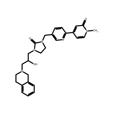 Cn1ccc(-c2ccc(CN3CCN(CC(O)CN4CCc5ccccc5C4)C3=O)cn2)cc1=O